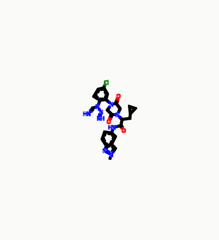 Cn1cc2cc(NC(=O)C(CC3CC3)N3CC(=O)N(c4cc(Cl)ccc4N(C=N)N=N)CC3=O)ccc2n1